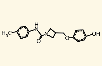 Cc1ccc(NC(=O)N2CC(COc3ccc(O)cc3)C2)cc1